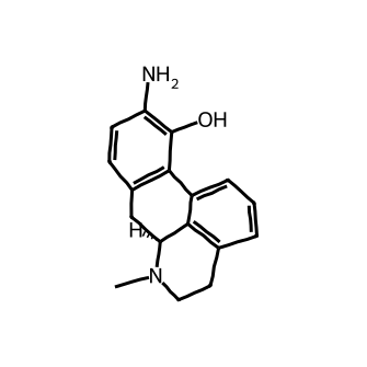 CN1CCc2cccc3c2[C@@H]1Cc1ccc(N)c(O)c1-3